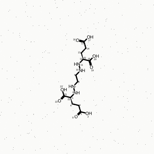 O=C(O)CC[C@H](NNCCNN[C@@H](CCC(=O)O)C(=O)O)C(=O)O